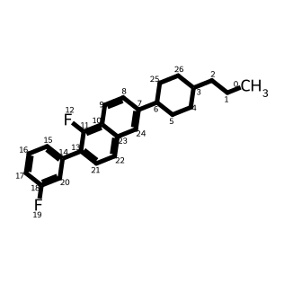 CCCC1CCC(c2ccc3c(F)c(-c4cccc(F)c4)ccc3c2)CC1